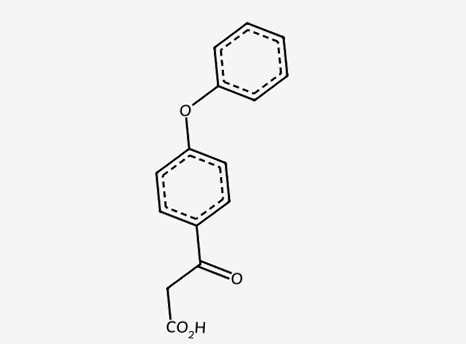 O=C(O)CC(=O)c1ccc(Oc2ccccc2)cc1